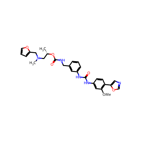 COc1cc(NC(=O)Nc2cccc(CNC(=O)O[C@@H](C)CN(C)Cc3ccco3)c2)ccc1-c1cnco1